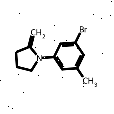 C=C1CCCN1c1cc(C)cc(Br)c1